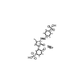 CC1=NN(c2cc(S(=O)(=O)O)ccc2Cl)C(=O)C1N=Nc1ccc(S(=O)(=O)O)cc1.[Na].[Na]